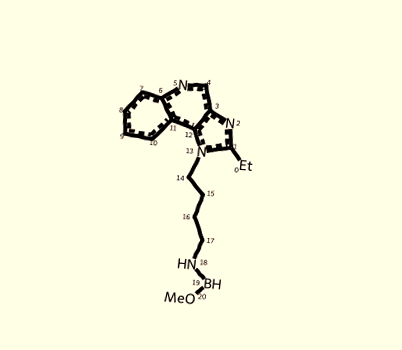 CCc1nc2cnc3ccccc3c2n1CCCCNBOC